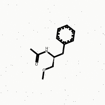 COC[C@H](Cc1ccccc1)NC(C)=O